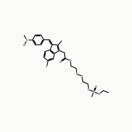 CCOP(C)(=O)OCCSSCCOC(=O)CC1=C(C)/C(=C/c2ccc([S+](C)[O-])cc2)c2ccc(F)cc21